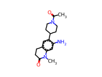 CC(=O)N1CCC(c2cc3c(cc2N)N(C)C(=O)CC3)CC1